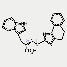 O=C(O)/C(Cc1c[nH]c2ccccc12)=N\Nc1nc2c(s1)CCc1ccccc1-2